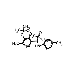 Cc1ccc(NC(c2cnc(C)c3c2COC(C)(C)O3)P(C)(C)=O)cc1